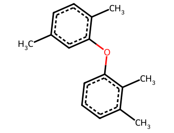 Cc1ccc(C)c(Oc2cccc(C)c2C)c1